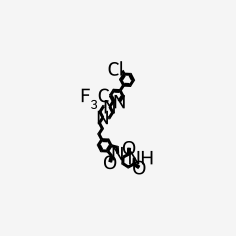 O=C1CCC(N2Cc3cc(CCCN4CCN(c5ncc(-c6cccc(Cl)c6)cc5C(F)(F)F)CC4)ccc3C2=O)C(=O)N1